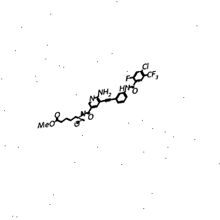 COC(=O)CCCCS(C)(=O)=NC(=O)c1cnc(N)c(C#Cc2cccc(NC(=O)c3cc(C(F)(F)F)c(Cl)cc3F)c2)c1